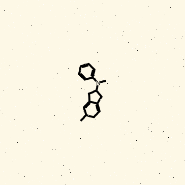 CC1C=C2CC(N(C)c3ccccc3)CC2=CC1